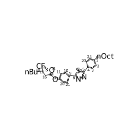 CCCCCCCCc1ccc(-c2nnc(-c3ccc(OC(=O)CC(CCCC)C(F)(F)F)cc3)s2)cc1